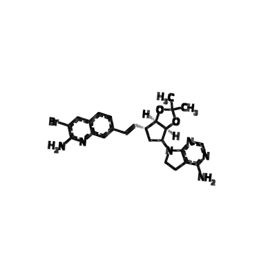 CC1(C)O[C@@H]2[C@@H](/C=C/c3ccc4cc(Br)c(N)nc4c3)CC(N3CCc4c(N)ncnc43)[C@@H]2O1